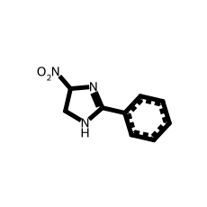 O=[N+]([O-])C1CNC(c2ccccc2)=N1